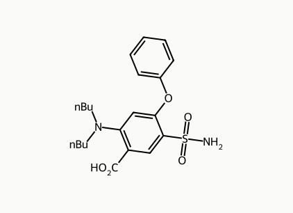 CCCCN(CCCC)c1cc(Oc2ccccc2)c(S(N)(=O)=O)cc1C(=O)O